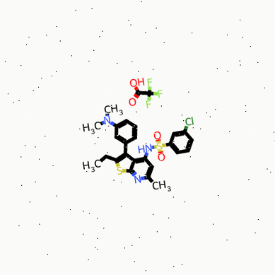 CCc1sc2nc(C)cc(NS(=O)(=O)c3cccc(Cl)c3)c2c1-c1cccc(N(C)C)c1.O=C(O)C(F)(F)F